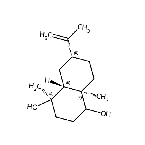 C=C(C)[C@@H]1CC[C@@]2(C)C(O)CC[C@@](C)(O)[C@@H]2C1